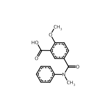 COc1ccc(C(=O)N(C)c2ccccc2)cc1C(=O)O